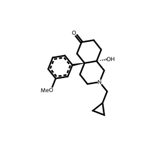 COc1cccc([C@]23CCN(CC4CC4)C[C@]2(O)CCC(=O)C3)c1